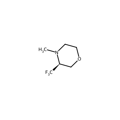 CN1CCOC[C@H]1C(F)(F)F